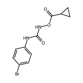 O=C(NOC(=O)C1CC1)Nc1ccc(Br)cc1